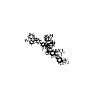 CC(C)c1ccccc1[C@@H]1COCCCN1C1CC2(CCN(c3ccc(C(=O)NS(=O)(=O)c4ccc(NCC5CCC(C)(O)CC5)c([N+](=O)[O-])c4)c(N4c5cc6cc[nH]c6nc5O[C@@H]5CCOC[C@H]54)c3)CC2)C1